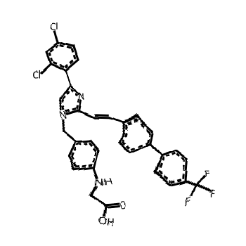 O=C(O)CNc1ccc(Cn2cc(-c3ccc(Cl)cc3Cl)nc2/C=C/c2ccc(-c3ccc(C(F)(F)F)cc3)cc2)cc1